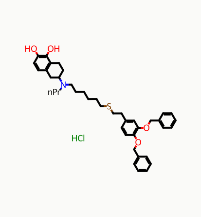 CCCN(CCCCCCSCCc1ccc(OCc2ccccc2)c(OCc2ccccc2)c1)C1CCc2c(ccc(O)c2O)C1.Cl